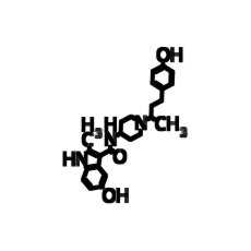 Cc1[nH]c2ccc(O)cc2c1C(=O)NC1CCN(C(C)CCc2ccc(O)cc2)CC1